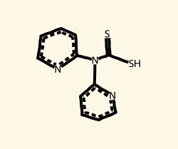 S=C(S)N(c1ccccn1)c1ccccn1